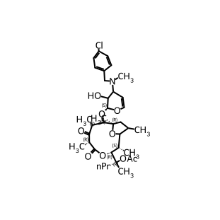 CCC[C@@](C)(OC(C)=O)[C@@H]1OC(=O)[C@H](C)C(=O)[C@H](C)[C@@H](O[C@@H]2OC=CC(N(C)Cc3ccc(Cl)cc3)C2O)[C@@]2(C)CC(C)C(O2)[C@@H]1C